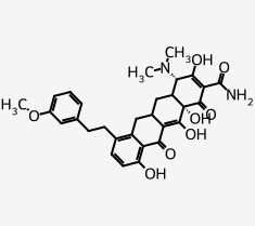 COc1cccc(CCc2ccc(O)c3c2CC2CC4[C@H](N(C)C)C(O)=C(C(N)=O)C(=O)[C@@]4(O)C(O)=C2C3=O)c1